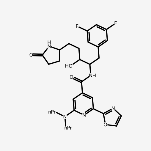 CCCN(CCC)c1cc(C(=O)NC(Cc2cc(F)cc(F)c2)C(O)CCC2CCC(=O)N2)cc(-c2ncco2)n1